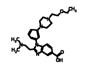 CCOCCN1CCN(c2cccc(-n3c(CCN(C)C)nc4cc(C(=O)O)ccc43)c2)CC1